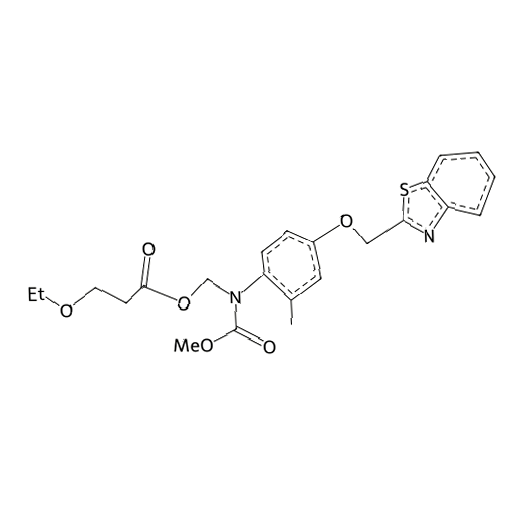 CCOCCC(=O)OCN(C(=O)OC)c1ccc(OCc2nc3ccccc3s2)cc1C